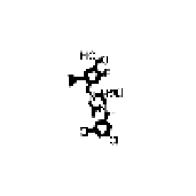 CC1CN(Cc2cc(F)c(C(=O)O)cc2C2CC2)CCN1[C@H](C)c1cc(Cl)cc(Cl)c1.Cl.Cl